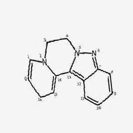 C1=CN2CCn3nc4ccccc4c3C2=CC1